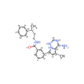 CC(CCNC(=O)c1cccc(-c2cc(C#N)c3c(N)ncnn23)c1)c1ccccc1